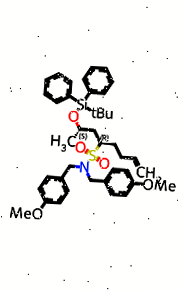 C=CCC[C@H](C[C@H](C)O[Si](c1ccccc1)(c1ccccc1)C(C)(C)C)S(=O)(=O)N(Cc1ccc(OC)cc1)Cc1ccc(OC)cc1